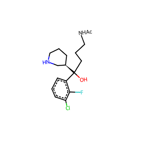 CC(=O)NCCCC(O)(c1cccc(Cl)c1F)[C@@H]1CCCNC1